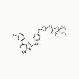 CC(C)(C)OC(=O)ON1CC(Oc2ccc(Nc3nc(N)c(C(=O)c4cccc(F)c4)s3)cc2)C1